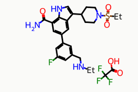 CCNCc1cc(F)cc(-c2cc(C(N)=O)c3[nH]cc(C4CCN(S(=O)(=O)CC)CC4)c3c2)c1.O=C(O)C(F)(F)F